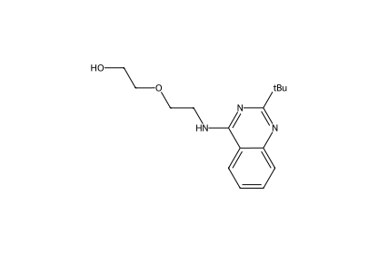 CC(C)(C)c1nc(NCCOCCO)c2ccccc2n1